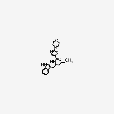 CCCCC(Cc1c[nH]c2ccccc12)NC(=O)c1cnc(N2CCOCC2)s1